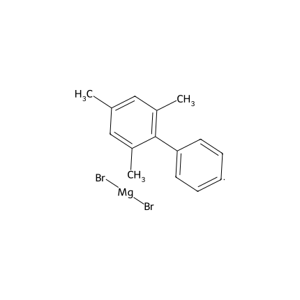 Cc1cc(C)c(-c2cc[c]cc2)c(C)c1.[Br][Mg][Br]